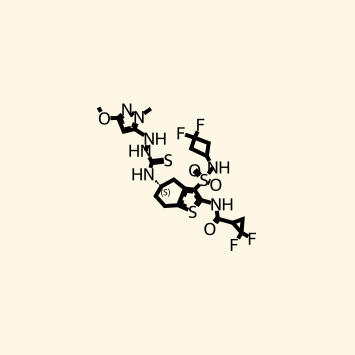 COc1cc(NNC(=S)N[C@H]2CCc3sc(NC(=O)C4CC4(F)F)c(S(=O)(=O)NC4CC(F)(F)C4)c3C2)n(C)n1